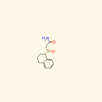 NC(=O)C[S+]([O-])C1CCCc2ccccc21